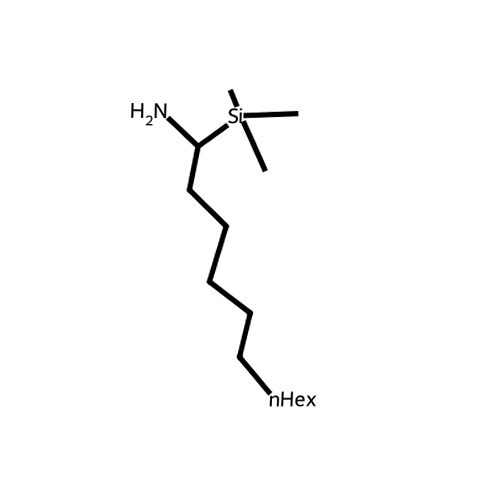 CCCCCCCCCCCC(N)[Si](C)(C)C